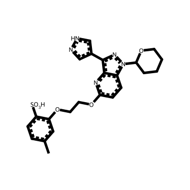 Cc1ccc(S(=O)(=O)O)c(OCCOc2ccc3c(n2)c(-c2cn[nH]c2)nn3C2CCCCO2)c1